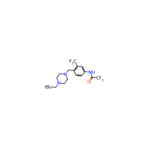 CC(C)(C)CN1CCN(Cc2ccc(NC(=O)C(F)(F)F)cc2C(F)(F)F)CC1